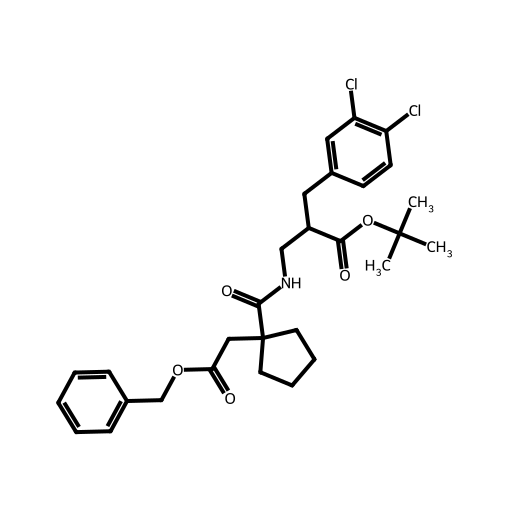 CC(C)(C)OC(=O)C(CNC(=O)C1(CC(=O)OCc2ccccc2)CCCC1)Cc1ccc(Cl)c(Cl)c1